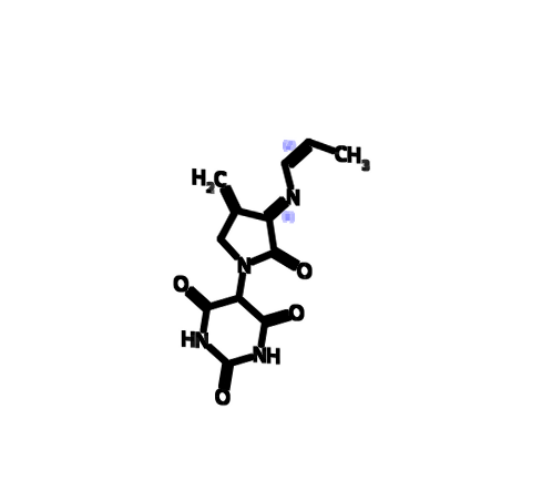 C=C1CN(C2C(=O)NC(=O)NC2=O)C(=O)/C1=N/C=C\C